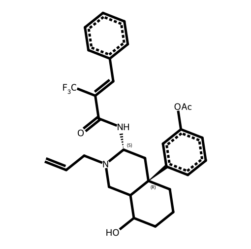 C=CCN1CC2C(O)CCC[C@@]2(c2cccc(OC(C)=O)c2)C[C@H]1NC(=O)C(=Cc1ccccc1)C(F)(F)F